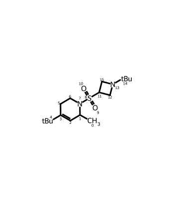 CC1C=C(C(C)(C)C)CCN1S(=O)(=O)C1CN(C(C)(C)C)C1